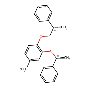 CCOC(=O)c1ccc(OC[C@@H](C)c2ccccc2)c(O[C@@H](C)c2ccccc2)c1